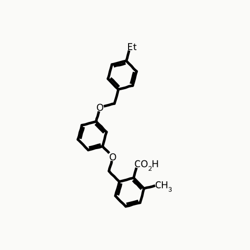 CCc1ccc(COc2cccc(OCc3cccc(C)c3C(=O)O)c2)cc1